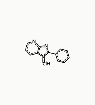 Cl.c1ccc(-c2nc3ncccc3[nH]2)cc1